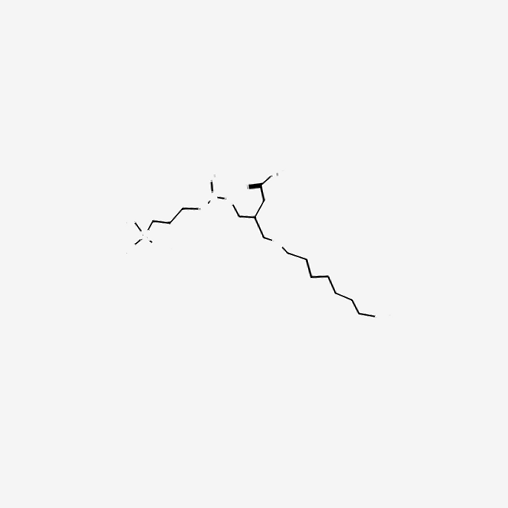 CCCCCCCCCCCCCCCCCOCC(COP(O)OCCC[N+](C)(C)C)CC(=O)CCC